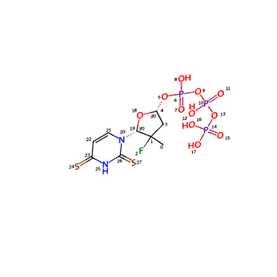 CC1(F)C[C@@H](OP(=O)(O)OP(=O)(O)OP(=O)(O)O)O[C@H]1n1ccc(=S)[nH]c1=S